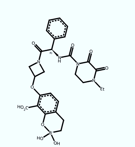 CCN1CCN(C(=O)N[C@@H](C(=O)N2CC(Oc3ccc4c(c3C(=O)O)O[B-](O)(O)CC4)C2)c2ccccc2)C(=O)C1=O